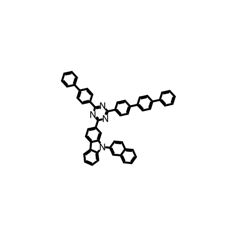 c1ccc(-c2ccc(-c3ccc(-c4nc(-c5ccc(-c6ccccc6)cc5)nc(-c5ccc6c7ccccc7n(-c7ccc8ccccc8c7)c6c5)n4)cc3)cc2)cc1